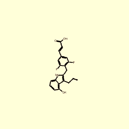 CCCc1c(Cc2c(F)cc(/C=C/C(=O)O)cc2F)[nH]c2cccc(O)c12